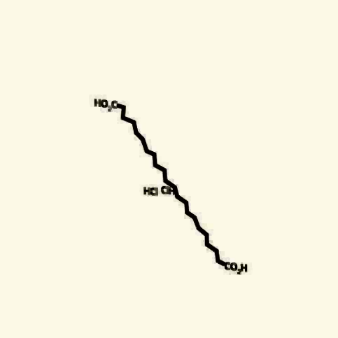 Cl.Cl.O=C(O)CCCCCCCCCCCCCCCCCCCCC(=O)O